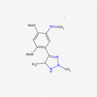 C=Nc1cc(C2=NN(C)NC2C)c(NC)cc1OC